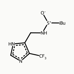 CCC(C)[S+]([O-])NCc1[nH]cnc1C(F)(F)F